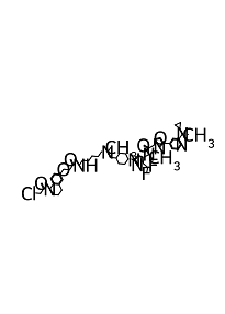 CN(CCCCCNC(=O)COc1ccc2c(c1)CCCN2C(=O)CCl)CC1CCC(n2cc(N(C)C(=O)c3coc(-c4ccnc(N(C)C5CC5)c4)n3)c(C(F)F)n2)CC1